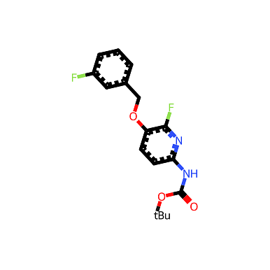 CC(C)(C)OC(=O)Nc1ccc(OCc2cccc(F)c2)c(F)n1